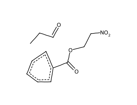 CCC=O.O=C(OCC[N+](=O)[O-])c1ccccc1